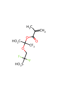 C=C(C)C(=O)OC(OCC(F)(F)S(=O)(=O)O)(C(=O)O)C(F)(F)F